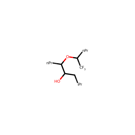 CCCC(OC(CCC)C(F)(F)F)C(O)CC(C)C